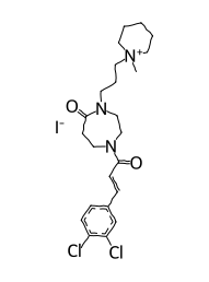 C[N+]1(CCCN2CCN(C(=O)/C=C/c3ccc(Cl)c(Cl)c3)CCC2=O)CCCCC1.[I-]